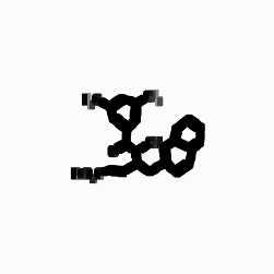 CCOC(=O)C=CC(Cc1ccc2ccccc2c1)N(C)C(=O)c1cc(C(F)(F)F)cc(C(F)(F)F)c1